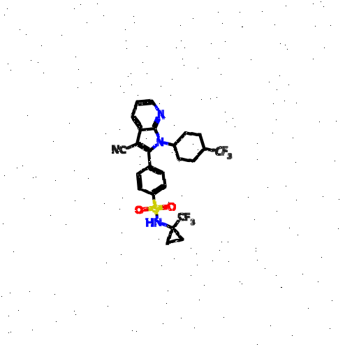 N#Cc1c(-c2ccc(S(=O)(=O)NC3(C(F)(F)F)CC3)cc2)n(C2CCC(C(F)(F)F)CC2)c2ncccc12